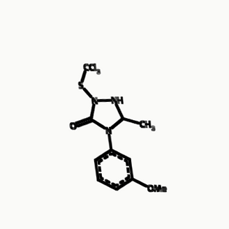 COc1cccc(N2C(=O)N(SC(Cl)(Cl)Cl)NC2C)c1